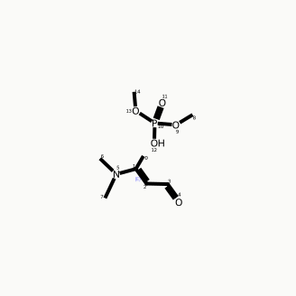 C/C(=C\C=O)N(C)C.COP(=O)(O)OC